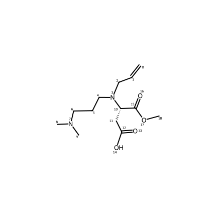 C=CCN(CCCN(C)C)[C@@H](CC(=O)O)C(=O)OC